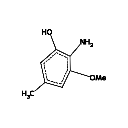 COc1cc(C)cc(O)c1N